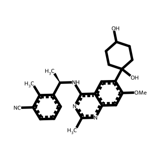 COc1cc2nc(C)nc(N[C@H](C)c3cccc(C#N)c3C)c2cc1C1(O)CCC(O)CC1